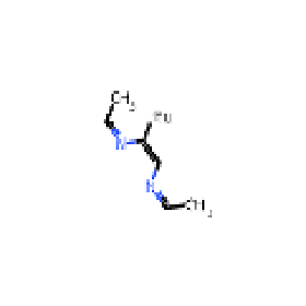 C\C=N/C=C(\N=C/C)C(C)(C)C